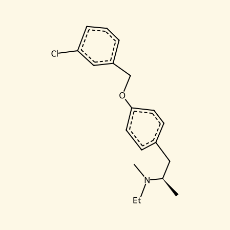 CCN(C)[C@H](C)Cc1ccc(OCc2cccc(Cl)c2)cc1